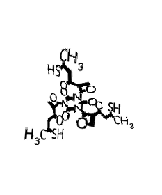 CC(S)CC(=O)C1=COC1n1c(=O)n(C2OC=C2C(=O)CC(C)S)c(=O)n(C2OC=C2C(=O)CC(C)S)c1=O